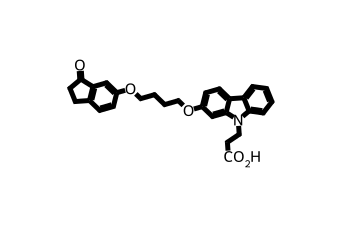 O=C(O)CCn1c2ccccc2c2ccc(OCCCCOc3ccc4c(c3)C(=O)CC4)cc21